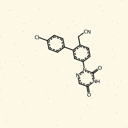 N#CCc1ccc(-n2ncc(=O)[nH]c2=O)cc1-c1ccc(Cl)cc1